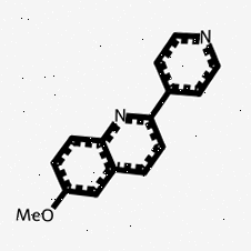 COc1ccc2nc(-c3ccncc3)ccc2c1